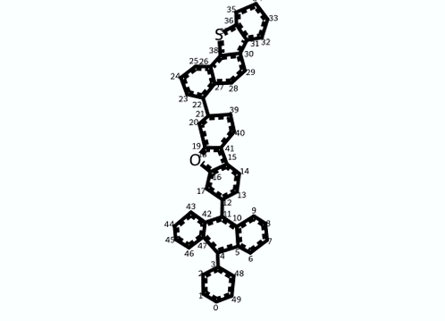 c1ccc(-c2c3ccccc3c(-c3ccc4c(c3)oc3cc(-c5cccc6c5ccc5c7ccccc7sc65)ccc34)c3ccccc23)cc1